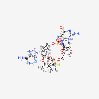 CC(C)(C)[Si](C)(C)O[C@H]1[C@H](n2cnc3c(N)ncnc32)[C@H]2C[C@]23COP(=O)(O)O[C@H]2[C@H]4OC[C@]2(COP(=O)(S)O[C@@H]13)O[C@H]4n1cnc2c(=O)[nH]c(N)nc21